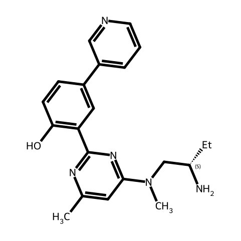 CC[C@H](N)CN(C)c1cc(C)nc(-c2cc(-c3cccnc3)ccc2O)n1